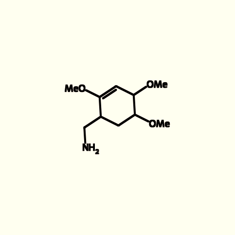 COC1=CC(OC)C(OC)CC1CN